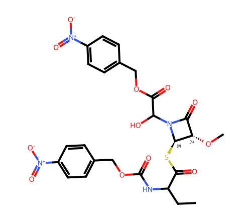 CCC(NC(=O)OCc1ccc([N+](=O)[O-])cc1)C(=O)S[C@@H]1[C@@H](OC)C(=O)N1C(O)C(=O)OCc1ccc([N+](=O)[O-])cc1